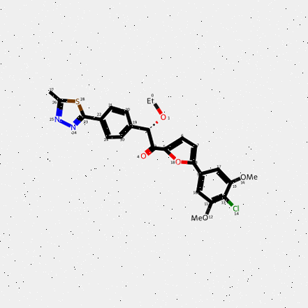 CCO[C@H](C(=O)c1ccc(-c2cc(OC)c(Cl)c(OC)c2)o1)c1ccc(-c2nnc(C)s2)cc1